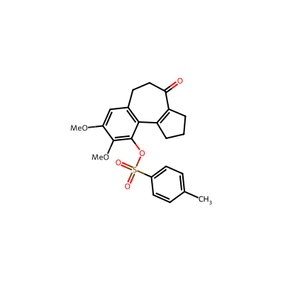 COc1cc2c(c(OS(=O)(=O)c3ccc(C)cc3)c1OC)C1=C(CCC1)C(=O)CC2